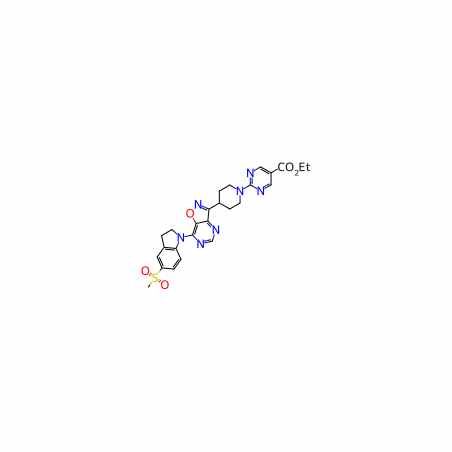 CCOC(=O)c1cnc(N2CCC(c3noc4c(N5CCc6cc(S(C)(=O)=O)ccc65)ncnc34)CC2)nc1